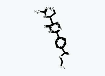 CCOC(=O)c1ccc(-c2nnc(C(CC)NC(C)=O)c(=O)[nH]2)cc1